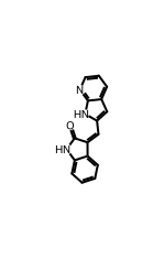 O=C1Nc2ccccc2C1=Cc1cc2cccnc2[nH]1